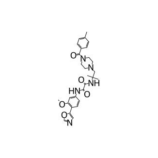 COc1cc(NC(=O)C(=O)NC(C)(C)CN2CCN(C(=O)c3ccc(C)cc3)CC2)ccc1-c1cnco1